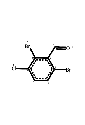 O=Cc1c(Br)ccc(Cl)c1Br